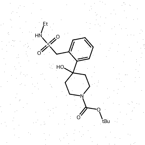 CCNS(=O)(=O)Cc1ccccc1C1(O)CCN(C(=O)OC(C)(C)C)CC1